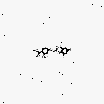 O=C(COc1ccc(C(=O)O)c(O)c1)Oc1c(I)cc(I)cc1I